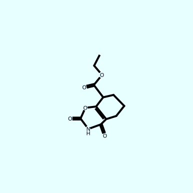 CCOC(=O)C1CCCc2c1oc(=O)[nH]c2=O